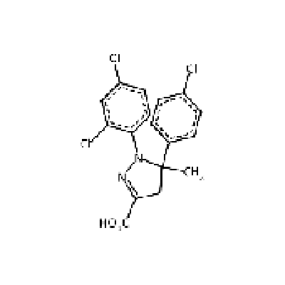 CC1(c2ccc(Cl)cc2)CC(C(=O)O)=NN1c1ccc(Cl)cc1Cl